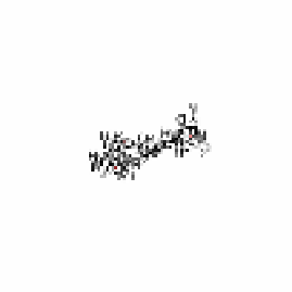 Cc1ncsc1-c1ccc([C@H](C)NC(=O)C2C[C@@H](O)CN2C(=O)C(NC(=O)CN2CC3(CC(N4CCN(c5ccc(C(=O)N[C@H]6C(C)(C)[C@H](Nc7ccc(C#N)c(Cl)c7)C6(C)C)cn5)CC4)C3)C2)C(C)(C)C)cc1